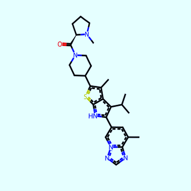 Cc1c(C2CCN(C(=O)[C@H]3CCCN3C)CC2)sc2[nH]c(-c3cc(C)c4ncnn4c3)c(C(C)C)c12